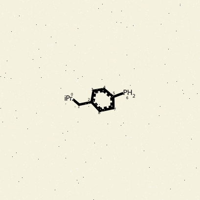 CC(C)Cc1ccc(P)cc1